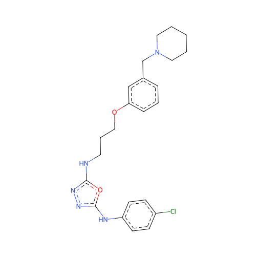 Clc1ccc(Nc2nnc(NCCCOc3cccc(CN4CCCCC4)c3)o2)cc1